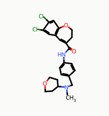 CN(Cc1ccc(NC(=O)C2=Cc3cc(Cl)c(Cl)cc3OCC2)cc1)C1CCOCC1